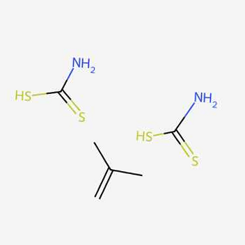 C=C(C)C.NC(=S)S.NC(=S)S